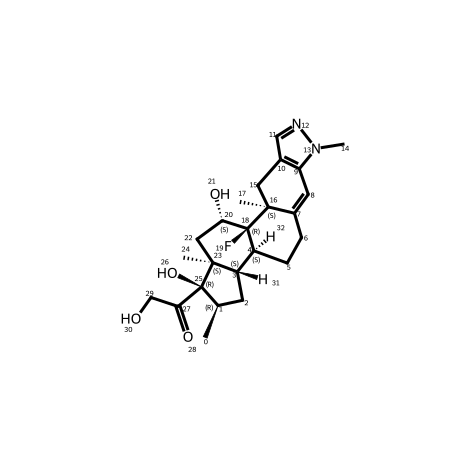 C[C@@H]1C[C@H]2[C@@H]3CCC4=Cc5c(cnn5C)C[C@]4(C)[C@@]3(F)[C@@H](O)C[C@]2(C)[C@@]1(O)C(=O)CO